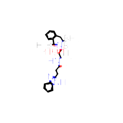 BC1(B)Cc2ccccc2C(B)(O)N1CC(O)CNC(=O)CCc1nc2ccccc2[nH]1